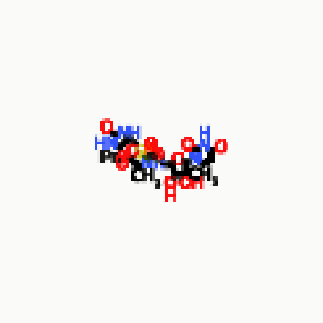 CC(C)OC(=O)[C@@H](C)N[P@@](=O)(OC[C@H]1O[C@@H](n2ccc(=O)[nH]c2=O)[C@](C)(O)[C@@H]1O)SC[C@H]1NC(=O)NC1=O